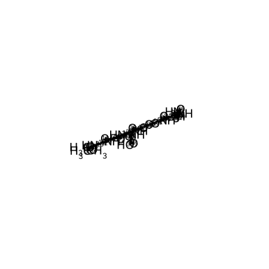 CC(C)(C)OC(=O)NCCCCCC(=O)NCCCCCC(=O)NCCCC[C@H](NC(=O)CCC(=O)O)C(=O)NCCCOCCOCCOCCCNC(=O)CCCC[C@@H]1SC[C@@H]2NC(=O)N[C@@H]21